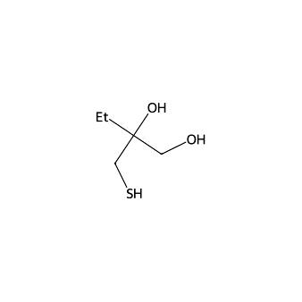 CCC(O)(CO)CS